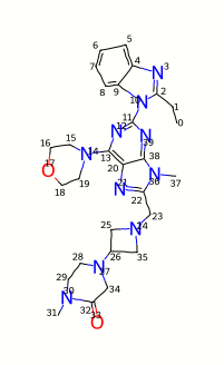 CCc1nc2ccccc2n1-c1nc(N2CCOCC2)c2nc(CN3CC(N4CCN(C)C(=O)C4)C3)n(C)c2n1